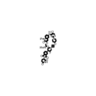 CNC(=O)COc1cc2cc(Nc3nc(N4CCC(OC5CC(N6CC[C@H](c7ccc8c(c7)C(=O)N(C7CCC(=O)NC7=O)C8=O)[C@@H](F)C6)C5)CC4)ncc3Cl)ccc2n(C(C)C)c1=O